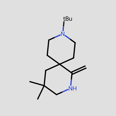 C=C1NCC(C)(C)CC12CCN(C(C)(C)C)CC2